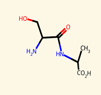 CC(NC(=O)C(N)CO)C(=O)O